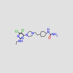 CCNc1nc(Cl)c(Cl)c(N2CCN(CCC3CCC(NC(N)=O)CC3)CC2)n1